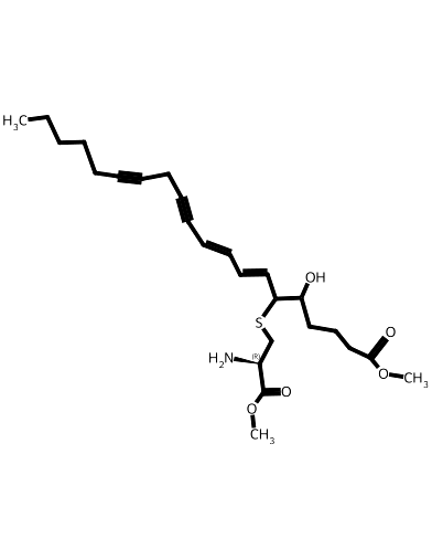 CCCCCC#CCC#CC=CC=CC(SC[C@H](N)C(=O)OC)C(O)CCCC(=O)OC